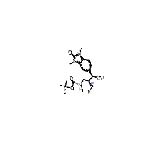 Cn1c(=O)n(C)c2cc(C(O)/C(=C/F)CNC(=O)OC(C)(C)C)ccc21